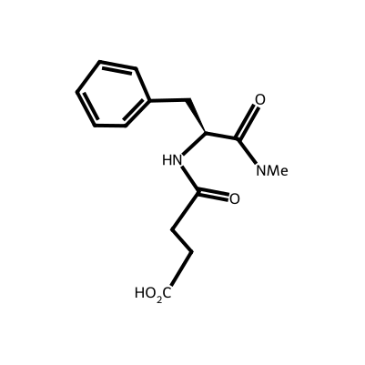 CNC(=O)[C@H](Cc1ccccc1)NC(=O)CCC(=O)O